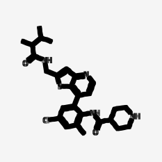 Cc1cc(Cl)cc(-c2ccnc3cc(CNC(=O)C(C)C(C)C)sc23)c1NC(=O)C1CCNCC1